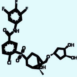 C[C@H]1CC2CC(S(=O)(=O)c3cc(C(=O)Nc4cc(F)c(F)c(F)c4)ccc3Cl)CC1[C@@]2(O)CO[C@@H]1C[C@@H](O)[C@@H](O)C1